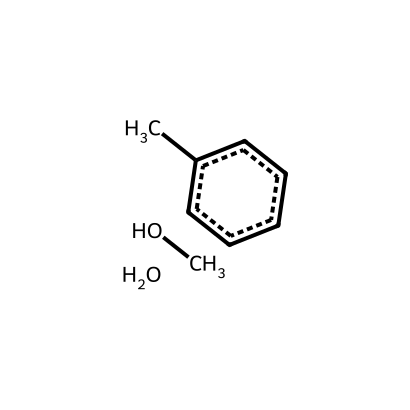 CO.Cc1ccccc1.O